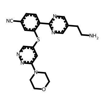 N#Cc1ccc(-c2ncc(CCN)cn2)c(Sc2cnnc(N3CCOCC3)c2)c1